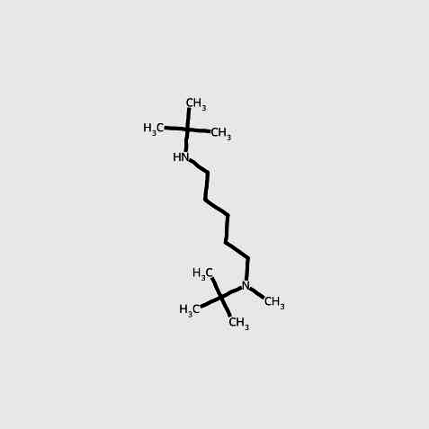 CN(CCCCCNC(C)(C)C)C(C)(C)C